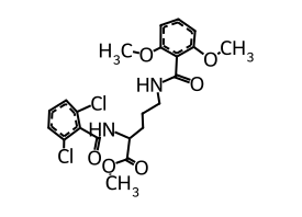 COC(=O)C(CCCNC(=O)c1c(OC)cccc1OC)NC(=O)c1c(Cl)cccc1Cl